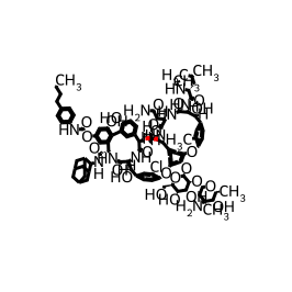 CCCCc1ccc(NC(=O)Oc2cc(O)c3c(c2)[C@@H](C(=O)NC2C4CC5CC(C4)CC2C5)NC(=O)[C@H]2NC(=O)[C@H](NC(=O)[C@@H]4NC(=O)[C@H](CC(N)=O)NC(=O)[C@H](NC(=O)[C@@H](CC(C)C)NC)[C@H](O)c5ccc(c(C)c5)Oc5cc4cc(c5O[C@@H]4O[C@H](CO)[C@@H](O)[C@H](O)[C@H]4O[C@H]4C[C@](C)(N)[C@H](O)[C@H](C)O4)Oc4ccc(cc4Cl)[C@H]2O)c2ccc(O)c-3c2)cc1